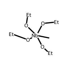 CC[O][Nb]([CH3])([O]CC)([O]CC)[O]CC